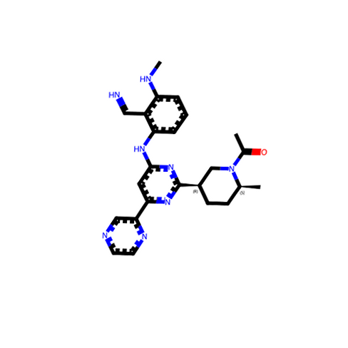 CNc1cccc(Nc2cc(-c3cnccn3)nc([C@@H]3CC[C@H](C)N(C(C)=O)C3)n2)c1C=N